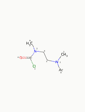 CC(=O)N(C)CCN(C)C(=O)Cl